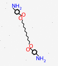 NCc1ccc(C(=O)OCCCCCCCCCCCCOC(=O)c2ccc(CN)cc2)cc1